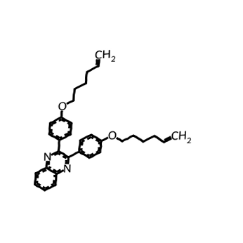 C=CCCCCOc1ccc(-c2nc3ccccc3nc2-c2ccc(OCCCCC=C)cc2)cc1